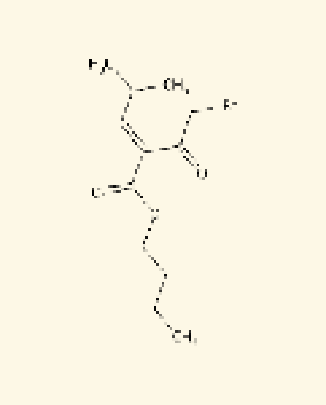 CCCCOC(=O)C(=CC(C)C)C(=O)CBr